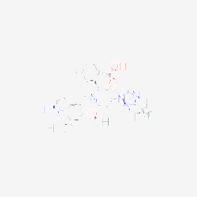 COc1cc(C)c2[nH]ccc2c1CN1CC[C@@H](n2cnc(C(F)(F)F)n2)C[C@@H]1c1ccccc1C(=O)O